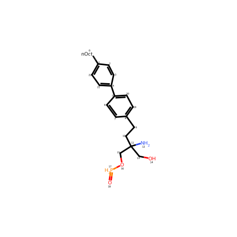 CCCCCCCCc1ccc(-c2ccc(CCC(N)(CO)CO[PH2]=O)cc2)cc1